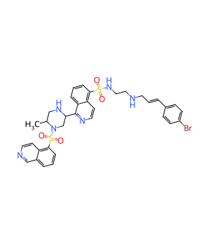 CC1CNC(c2nccc3c(S(=O)(=O)NCCNCC=Cc4ccc(Br)cc4)cccc23)CN1S(=O)(=O)c1cccc2cnccc12